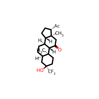 CC(=O)[C@H]1CC[C@H]2[C@@H]3CC[C@@H]4C[C@@](O)(C(F)(F)F)CC[C@]4(C)[C@H]3C(=O)C[C@]12C